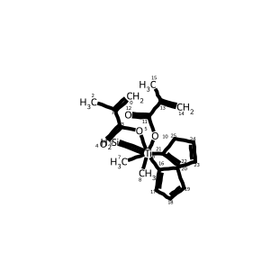 C=C(C)C(=O)[O][Ti]([CH3])([CH3])(=[SiH2])([O]C(=O)C(=C)C)([C]1=CC=CC1)[C]1=CC=CC1